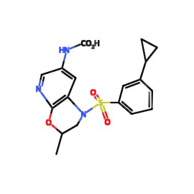 CC1CN(S(=O)(=O)c2cccc(C3CC3)c2)c2cc(NC(=O)O)cnc2O1